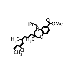 C/C=C\C(Cl)=C/C(C)CCCC1(C)COc2ccc(C(=O)OC)cc2N(CC(C)C)C1